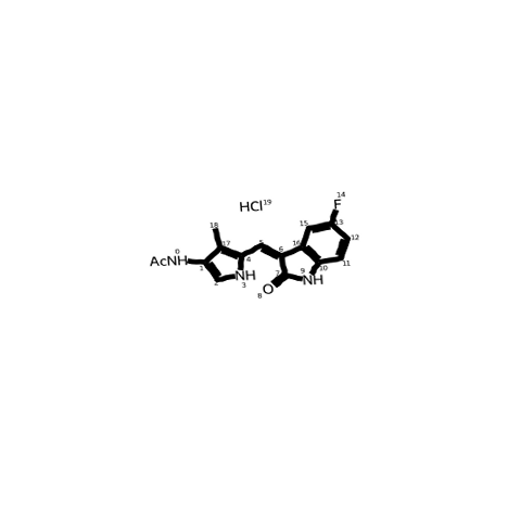 CC(=O)Nc1c[nH]c(C=C2C(=O)Nc3ccc(F)cc32)c1C.Cl